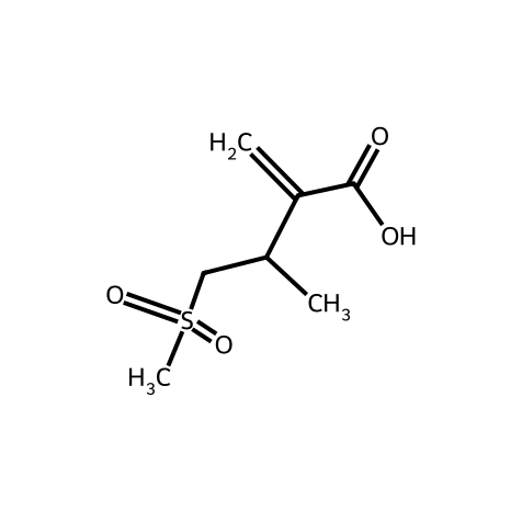 C=C(C(=O)O)C(C)CS(C)(=O)=O